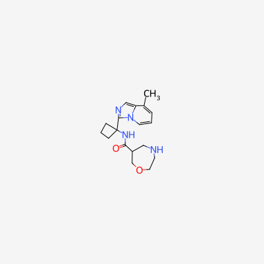 Cc1cccn2c(C3(NC(=O)C4CNCCOC4)CCC3)ncc12